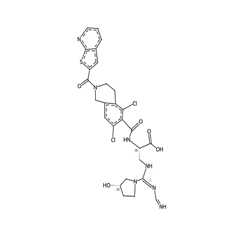 N=C/N=C(/NC[C@H](NC(=O)c1c(Cl)cc2c(c1Cl)CCN(C(=O)c1cc3cccnc3s1)C2)C(=O)O)N1CC[C@H](O)C1